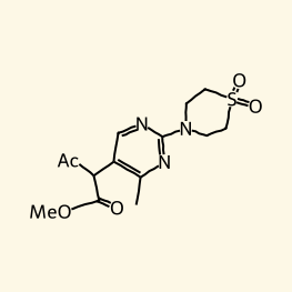 COC(=O)C(C(C)=O)c1cnc(N2CCS(=O)(=O)CC2)nc1C